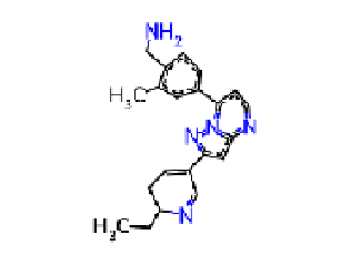 CCC1CC=C(c2cc3nccc(-c4ccc(CN)c(C)c4)n3n2)C=N1